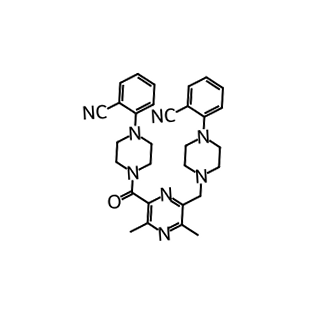 Cc1nc(C)c(C(=O)N2CCN(c3ccccc3C#N)CC2)nc1CN1CCN(c2ccccc2C#N)CC1